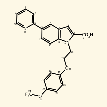 O=C(O)c1cc2cc(-c3ccccn3)ccc2n1CCOc1ccc(OC(F)(F)F)cc1